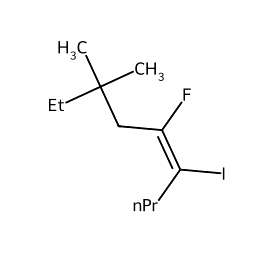 CCC/C(I)=C(/F)CC(C)(C)CC